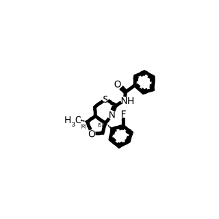 C[C@H]1OC[C@]2(c3ccccc3F)N=C(NC(=O)c3ccccc3)SCC12